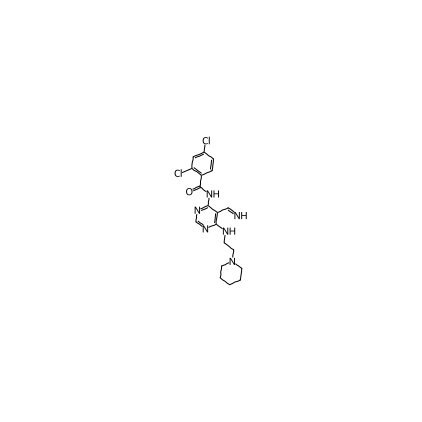 N=Cc1c(NCCN2CCCCC2)ncnc1NC(=O)c1ccc(Cl)cc1Cl